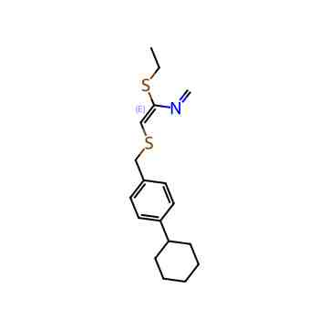 C=N/C(=C\SCc1ccc(C2CCCCC2)cc1)SCC